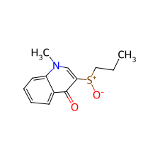 CCC[S+]([O-])c1cn(C)c2ccccc2c1=O